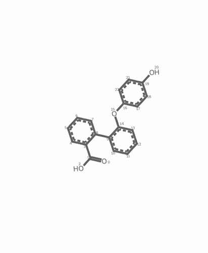 O=C(O)c1ccccc1-c1ccccc1Oc1ccc(O)cc1